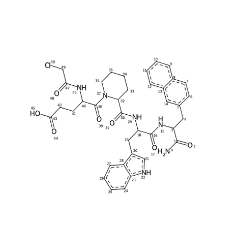 NC(=O)C(Cc1ccc2ccccc2c1)NC(=O)C(Cc1c[nH]c2ccccc12)NC(=O)C1CCCCN1C(=O)C(CCC(=O)O)NC(=O)CCl